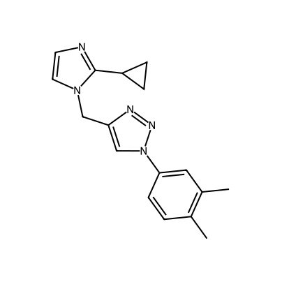 Cc1ccc(-n2cc(Cn3ccnc3C3CC3)nn2)cc1C